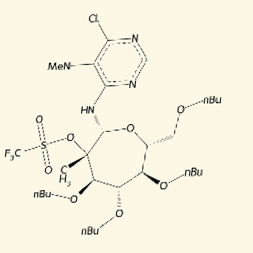 CCCCOC[C@H]1O[C@@H](Nc2ncnc(Cl)c2NC)[C@@](C)(OS(=O)(=O)C(F)(F)F)[C@H](OCCCC)[C@@H](OCCCC)[C@@H]1OCCCC